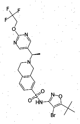 C[C@H](c1cnc(OCC(F)(F)F)nc1)N1CCc2ccc(S(=O)(=O)Nc3noc(C(C)(C)C)c3Br)cc2C1